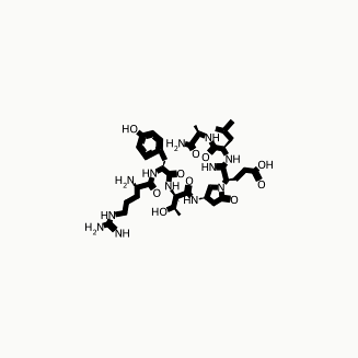 CC(C)C[C@@H](NC(=N)[C@@H](CCC(=O)O)N1C[C@@H](NC(=O)[C@H](NC(=O)[C@@H](Cc2ccc(O)cc2)NC(=O)[C@H](N)CCCNC(=N)N)[C@@H](C)O)CC1=O)C(=O)N[C@H](C)C(N)=O